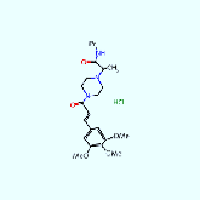 COc1cc(/C=C/C(=O)N2CCN(C(C)C(=O)NC(C)C)CC2)cc(OC)c1OC.Cl